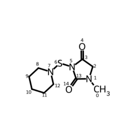 CN1CC(=O)N(SN2CCCCC2)C1=O